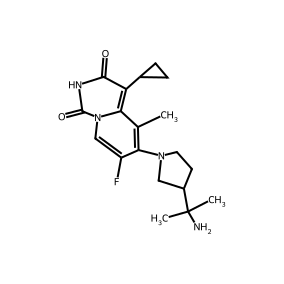 Cc1c(N2CCC(C(C)(C)N)C2)c(F)cn2c(=O)[nH]c(=O)c(C3CC3)c12